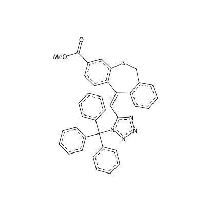 COC(=O)c1ccc2c(c1)SCc1ccccc1/C2=C\c1nnnn1C(c1ccccc1)(c1ccccc1)c1ccccc1